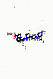 CNC(=O)c1ccnc2c([C@H](C)CNc3cc(-c4ccc(N(C)C5CCN(C(C)=O)CC5)nc4)ncn3)cccc12